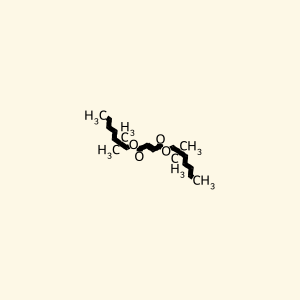 CCCCCC(C)(C)COC(=O)C=CC(=O)OCC(C)(C)CCCCC